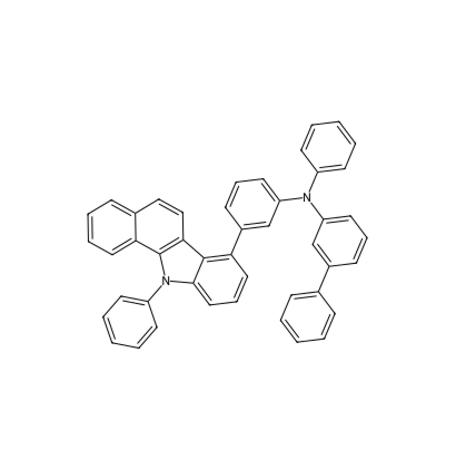 c1ccc(-c2cccc(N(c3ccccc3)c3cccc(-c4cccc5c4c4ccc6ccccc6c4n5-c4ccccc4)c3)c2)cc1